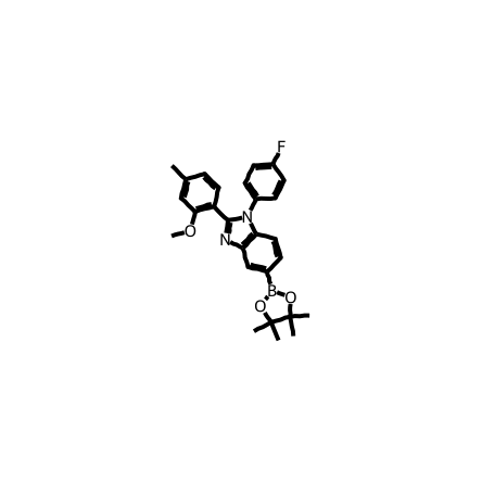 COc1cc(C)ccc1-c1nc2cc(B3OC(C)(C)C(C)(C)O3)ccc2n1-c1ccc(F)cc1